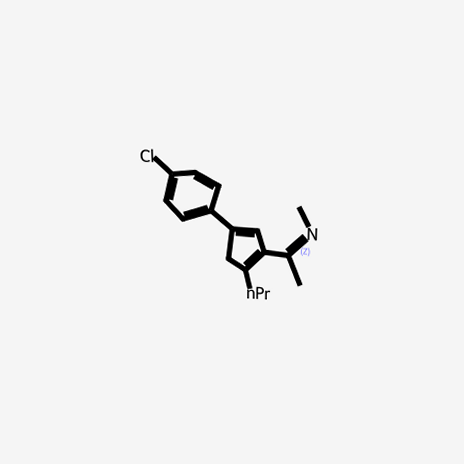 CCCC1=C(/C(C)=N\C)C=C(c2ccc(Cl)cc2)C1